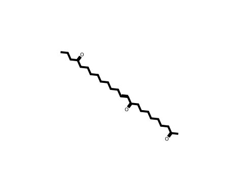 CCCC(=O)CCCCCCCCC=CC(=O)CCCCCCCC(C)=O